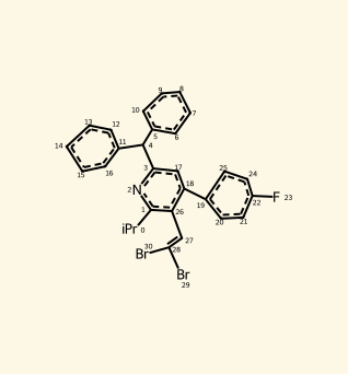 CC(C)c1nc(C(c2ccccc2)c2ccccc2)cc(-c2ccc(F)cc2)c1C=C(Br)Br